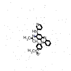 CC(C)/N=c1\cc2n(-c3ccc([S+](C)[O-])cc3)c3ccccc3nc-2cc1Nc1cccnc1